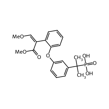 COC=C(C(=O)OC)c1ccccc1Oc1cccc(C(C)(C)P(=O)(O)O)c1